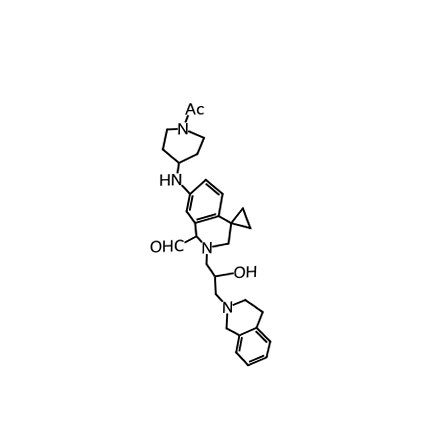 CC(=O)N1CCC(Nc2ccc3c(c2)C(C=O)N(CC(O)CN2CCc4ccccc4C2)CC32CC2)CC1